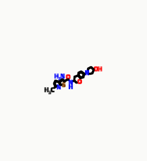 Cc1ccc2c(N)c(C(=O)NC3COc4cc(N5CCC(O)CC5)ccc4C3)sc2n1